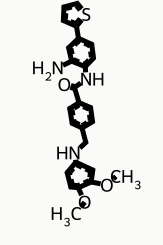 COc1ccc(NCc2ccc(C(=O)Nc3ccc(-c4cccs4)cc3N)cc2)cc1OC